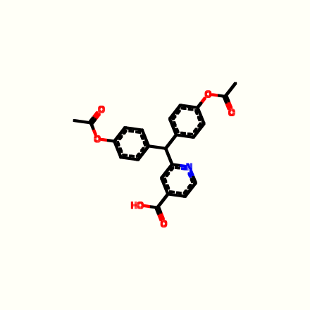 CC(=O)Oc1ccc(C(c2ccc(OC(C)=O)cc2)c2cc(C(=O)O)ccn2)cc1